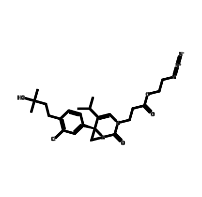 CC(C)C1=CN(CCC(=O)OCCN=[N+]=[N-])C(=O)N2C[C@]12c1ccc(CCC(C)(C)O)c(Cl)c1